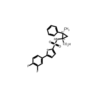 C[C@]1(c2ccccc2)C[C@@]1(NS(=O)(=O)c1ccc(-c2ccc(F)c(F)c2)s1)C(=O)O